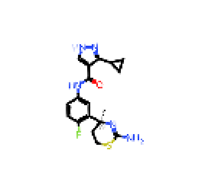 C[C@@]1(c2cc(NC(=O)c3c[nH]nc3C3CC3)ccc2F)CCSC(N)=N1